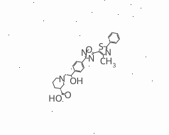 Cc1nc(-c2ccccc2)sc1-c1nc(-c2ccc(C(O)CN3CCC[C@H](C(=O)O)C3)cc2)no1